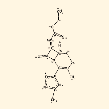 CC1=C(c2nc(C)no2)N2C(=O)[C@@H](NC(=O)OCC(Cl)(Cl)Cl)[C@H]2SC1